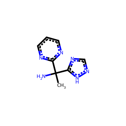 CC(N)(c1ncccn1)c1ncn[nH]1